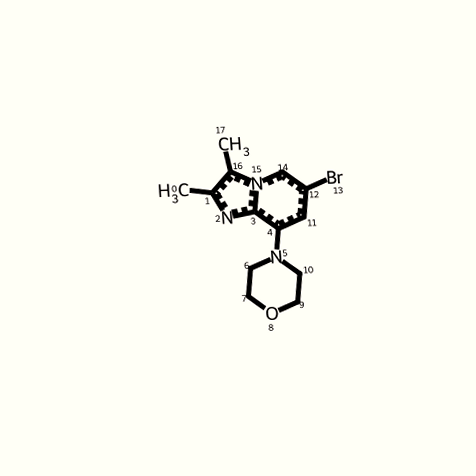 Cc1nc2c(N3CCOCC3)cc(Br)cn2c1C